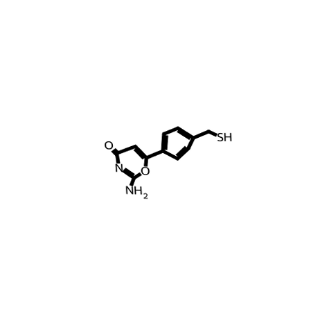 Nc1nc(=O)cc(-c2ccc(CS)cc2)o1